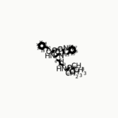 C=C(NCCCC[C@H](NC(=O)OCc1ccccc1)C(=O)N[C@@H](Cc1ccccc1)C(N)=O)OC(C)(C)C